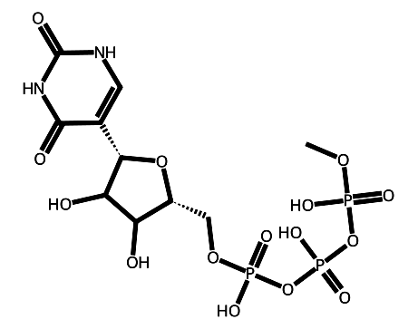 COP(=O)(O)OP(=O)(O)OP(=O)(O)OC[C@H]1O[C@@H](c2c[nH]c(=O)[nH]c2=O)C(O)C1O